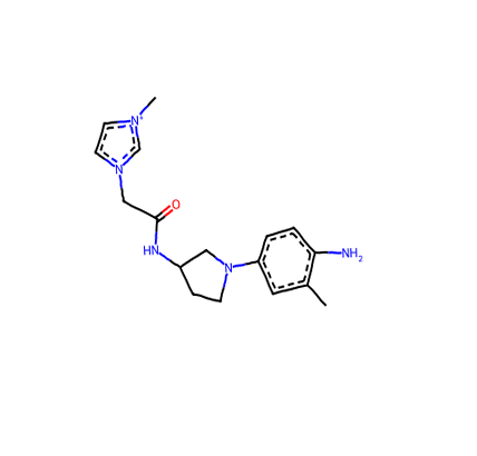 Cc1cc(N2CCC(NC(=O)Cn3cc[n+](C)c3)C2)ccc1N